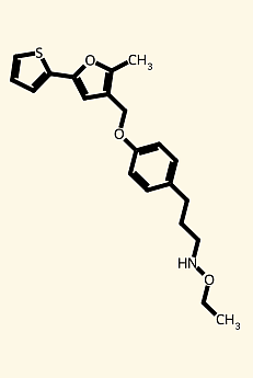 CCONCCCc1ccc(OCc2cc(-c3cccs3)oc2C)cc1